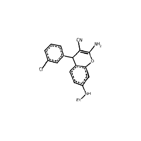 CCNc1ccc2c(c1)OC(N)=C(C#N)C2c1cccc(Cl)c1